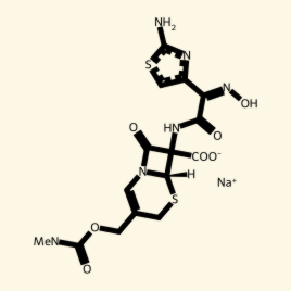 CNC(=O)OCC1=CN2C(=O)C(NC(=O)/C(=N\O)c3csc(N)n3)(C(=O)[O-])[C@@H]2SC1.[Na+]